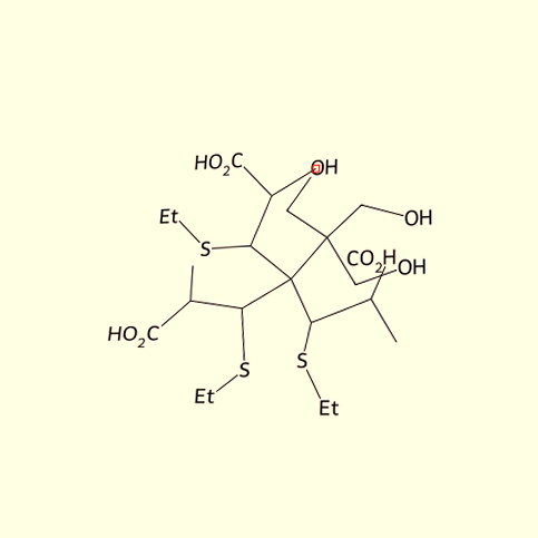 CCSC(C(C)C(=O)O)C(C(SCC)C(C)C(=O)O)(C(SCC)C(C)C(=O)O)C(CO)(CO)CO